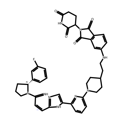 N=C(/C=C\c1ncc(-c2cccc(N3CCC(CCNc4ccc5c(c4)C(=O)N(C4CCC(=O)NC4=O)C5=O)CC3)n2)[nH]1)N1CCC[C@@H]1c1cccc(F)c1